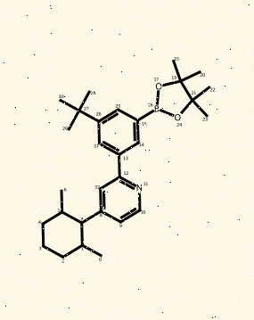 CC1CCCC(C)C1c1ccnc(-c2cc(B3OC(C)(C)C(C)(C)O3)cc(C(C)(C)C)c2)c1